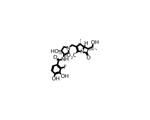 C[C@@H](O)[C@H]1C(=O)N2C(C(=O)O)=C(CN3CC(NC(=O)c4ccc(O)c(O)c4F)[C@@H](O)C3)[C@H](C)[C@H]12